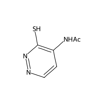 CC(=O)Nc1ccnnc1S